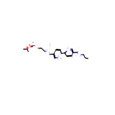 CCCNC(=O)c1ccc(-c2ccc(C(=O)NCCCO[Si](C)(C)OC(C)C)cn2)nc1